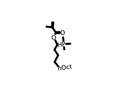 C=C(C)C(=O)OC(CCCCCCCCCCC)[PH](C)(C)C